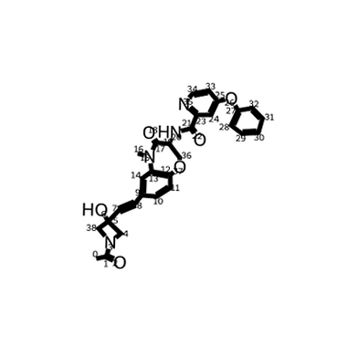 CC(=O)N1CC(O)(C#Cc2ccc3c(c2)N(C)C(=O)[C@@H](NC(=O)c2cc(Oc4ccccc4)ccn2)CO3)C1